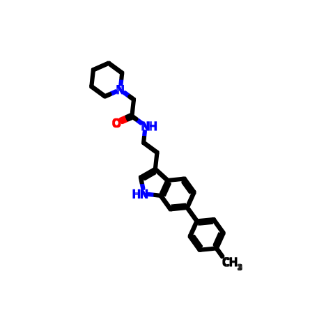 Cc1ccc(-c2ccc3c(CCNC(=O)CN4CCCCC4)c[nH]c3c2)cc1